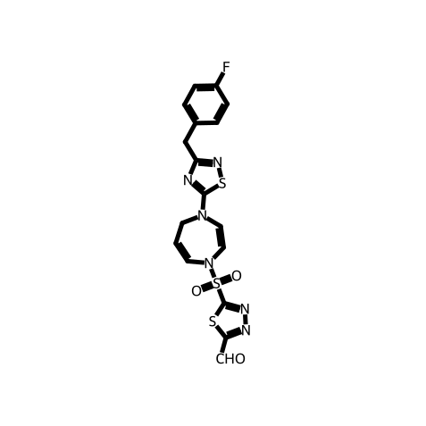 O=Cc1nnc(S(=O)(=O)N2C=CCN(c3nc(Cc4ccc(F)cc4)ns3)C=C2)s1